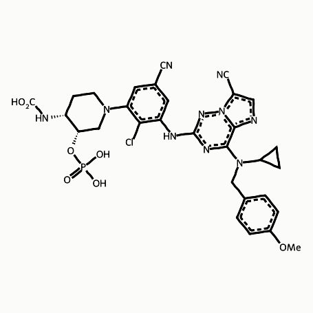 COc1ccc(CN(c2nc(Nc3cc(C#N)cc(N4CC[C@@H](NC(=O)O)[C@@H](OP(=O)(O)O)C4)c3Cl)nn3c(C#N)cnc23)C2CC2)cc1